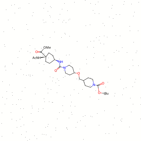 COC(=O)[C@]1(NC(C)=O)CC[C@@H](NC(=O)N2CCC(OCC3CCN(C(=O)OC(C)(C)C)CC3)CC2)CC1